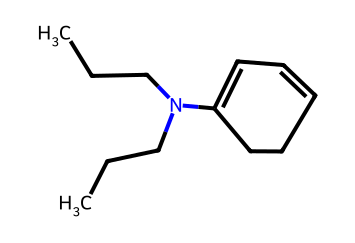 CCCN(CCC)C1=CC=CCC1